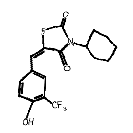 O=C1SC(=Cc2ccc(O)c(C(F)(F)F)c2)C(=O)N1C1CCCCC1